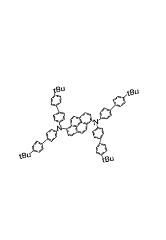 CC(C)(C)c1ccc(-c2ccc(N(c3ccc(-c4ccc(C(C)(C)C)cc4)cc3)c3ccc4ccc5c(N(c6ccc(-c7ccc(C(C)(C)C)cc7)cc6)c6ccc(-c7ccc(C(C)(C)C)cc7)cc6)ccc6ccc3c4c65)cc2)cc1